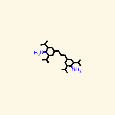 CC(C)C1CC(CCCC2CC(C(C)C)C(N)C(C(C)C)C2)CC(C(C)C)C1N